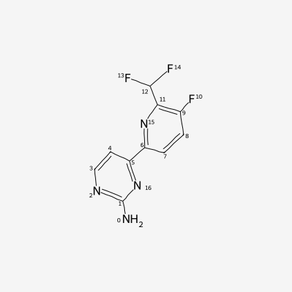 Nc1nccc(-c2ccc(F)c(C(F)F)n2)n1